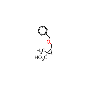 C[C@]1(C(=O)O)CC1COCc1ccccc1